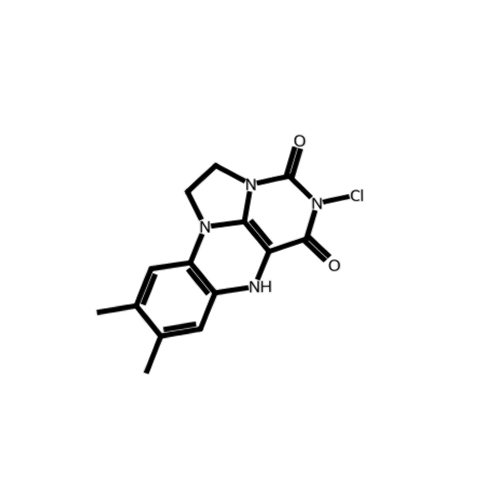 Cc1cc2c(cc1C)N1CCn3c1c(c(=O)n(Cl)c3=O)N2